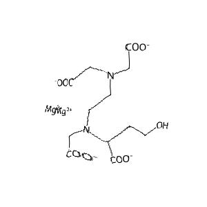 O=C([O-])CN(CCN(CC(=O)[O-])C(CCO)C(=O)[O-])CC(=O)[O-].[Mg+2].[Mg+2]